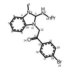 CCCNC1N(C)c2ccccc2N1CC(=O)c1ccc(Br)cc1